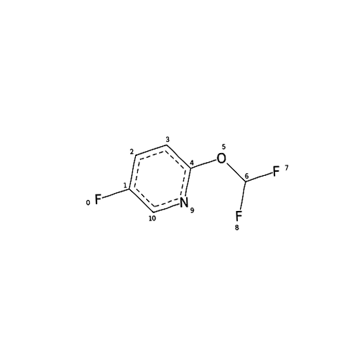 Fc1ccc(OC(F)F)nc1